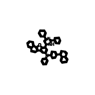 C1=C(c2ccccc2)N=C(c2ccccc2)NC1c1cc(N(c2ccccc2)c2ccc(-c3cccc4ccccc34)cc2)cc2c1oc1c3ccccc3ccc21